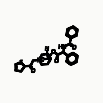 O=C(NC(C(=O)O[C@H]1C[N+]2(CC(=O)C3CC=CS3)CCC1CC2)c1ccccc1)c1ccccc1